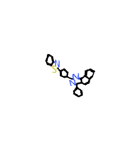 c1ccc(-c2nc(-c3ccc(-c4nc5ccccc5s4)cc3)nc3c2ccc2ccccc23)cc1